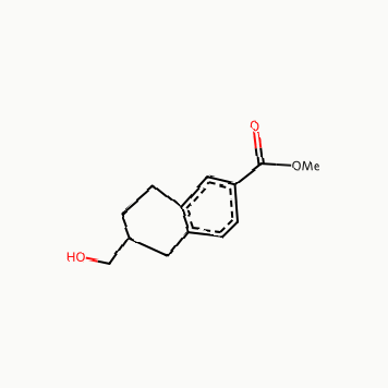 COC(=O)c1ccc2c(c1)CCC(CO)C2